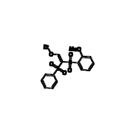 CCO/C=C(\S(=O)(=O)c1ccccc1)S(=O)(=O)c1ccccc1OC